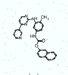 Cc1ccc(NC(=O)Oc2ccc3ccccc3c2)cc1Nc1nccc(-c2cccnc2)n1